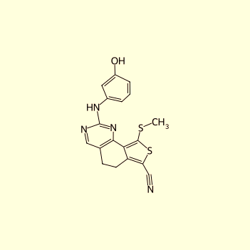 CSc1sc(C#N)c2c1-c1nc(Nc3cccc(O)c3)ncc1CC2